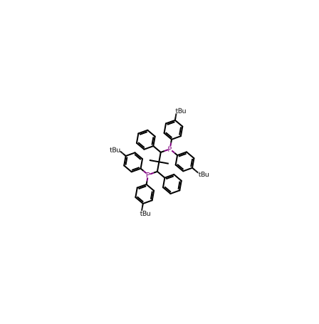 CC(C)(C)c1ccc(P(c2ccc(C(C)(C)C)cc2)C(c2ccccc2)C(C)(C)C(c2ccccc2)P(c2ccc(C(C)(C)C)cc2)c2ccc(C(C)(C)C)cc2)cc1